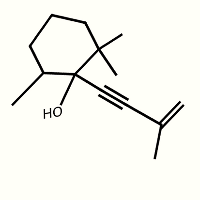 C=C(C)C#CC1(O)C(C)CCCC1(C)C